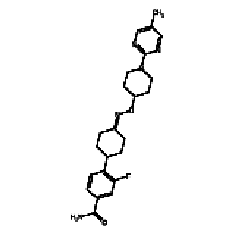 Cc1cnc(N2CCC(ON=C3CCC(c4ccc(C(N)=O)cc4F)CC3)CC2)nc1